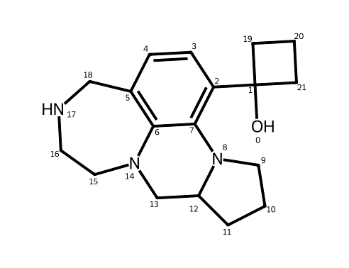 OC1(c2ccc3c4c2N2CCCC2CN4CCNC3)CCC1